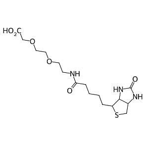 O=C(O)COCCOCCNC(=O)CCCCC1SCC2NC(=O)NC21